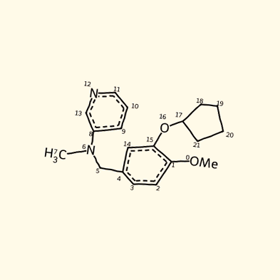 COc1ccc(CN(C)c2cccnc2)cc1OC1CCCC1